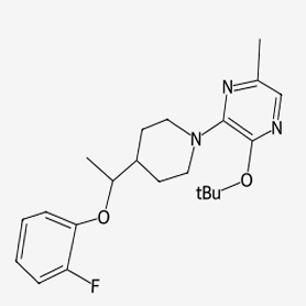 Cc1cnc(OC(C)(C)C)c(N2CCC(C(C)Oc3ccccc3F)CC2)n1